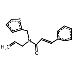 C=CCN(Cc1cccs1)C(=O)C=Cc1ccccc1